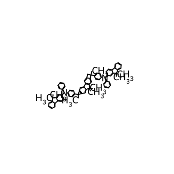 CCC1(c2ccc(N(c3ccccc3)c3ccc4c(c3)C(C)(C)c3ccccc3-4)cc2)Cc2cc3c(cc21)C(C)(C)c1cc2c(cc1-3)C2(CC)c1ccc(N(c2ccccc2)c2ccc3c(c2)C(C)(C)c2ccccc2-3)cc1